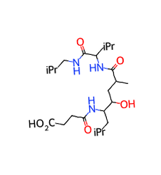 CC(C)CNC(=O)C(NC(=O)C(C)CC(O)C(CC(C)C)NC(=O)CCC(=O)O)C(C)C